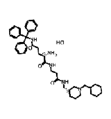 Cl.N[C@@H](CCC(=O)NC(c1ccccc1)(c1ccccc1)c1ccccc1)C(=O)NCCC(=O)NC[C@H]1CCCN(CC2CCCCC2)C1